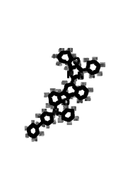 c1ccc(-c2ccc(N(c3ccccc3)c3cccc4c3oc3c5ccccc5c(-c5nc(-c6ccccc6)c6oc7ccccc7c6n5)cc43)cc2)cc1